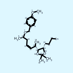 COc1ccc(CO[C@H](C)C/C=C\C(C)[C@H]2OC(C)(C)O[C@H]2CCCI)cc1